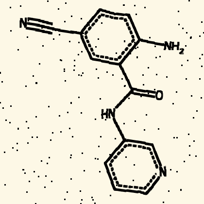 N#Cc1ccc(N)c(C(=O)Nc2cccnc2)c1